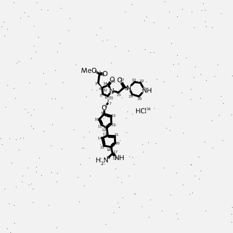 COC(=O)C[C@@H]1C[C@@H](COc2ccc(-c3ccc(C(=N)N)cc3)cc2)N(CC(=O)N2CCNCC2)C1=O.Cl